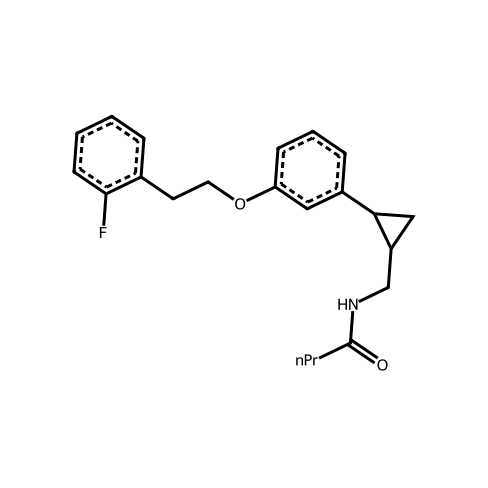 CCCC(=O)NCC1CC1c1cccc(OCCc2ccccc2F)c1